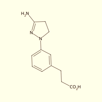 NC1=NN(c2cccc(CCC(=O)O)c2)CC1